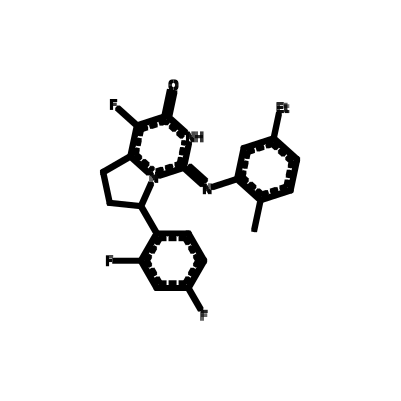 CCc1ccc(C)c(/N=c2\[nH]c(=O)c(F)c3n2C(c2ccc(F)cc2F)CC3)c1